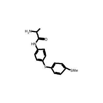 CSc1ccc(Sc2ccc(NC(=O)C(C)N)cc2)cc1